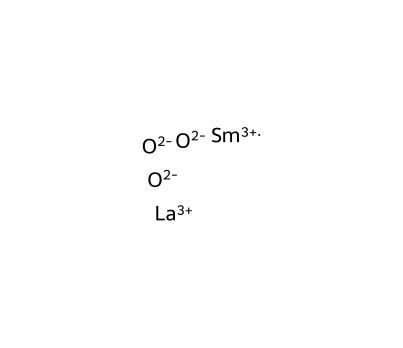 [La+3].[O-2].[O-2].[O-2].[Sm+3]